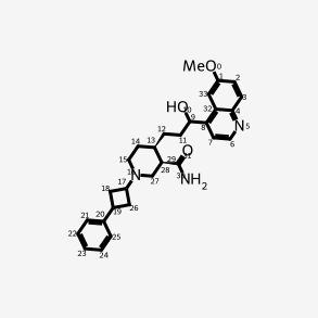 COc1ccc2nccc(C(O)CC[C@@H]3CCN(C4CC(c5ccccc5)C4)C[C@@H]3C(N)=O)c2c1